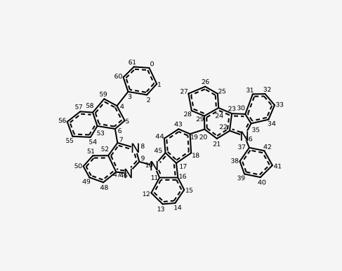 c1ccc(-c2cc(-c3nc(-n4c5ccccc5c5cc(-c6cc7c(c8ccccc68)c6ccccc6n7-c6ccccc6)ccc54)nc4ccccc34)c3ccccc3c2)cc1